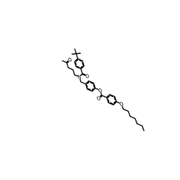 CCCCCCCOc1ccc(C(=O)Oc2ccc(CN(CCCC(C)=O)C(=O)c3ccc(C(C)(C)C)cc3)cc2)cc1